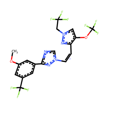 COc1cc(-c2ncn(/C=C\c3nn(CC(F)(F)F)cc3OC(F)(F)F)n2)cc(C(F)(F)F)c1